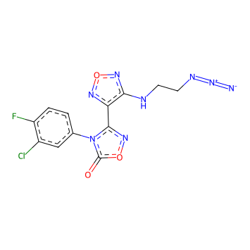 [N-]=[N+]=NCCNc1nonc1-c1noc(=O)n1-c1ccc(F)c(Cl)c1